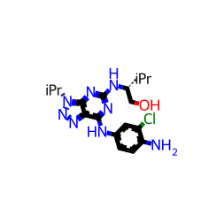 CC(C)[C@H](CO)Nc1nc(Nc2ccc(N)c(Cl)c2)c2nnn(C(C)C)c2n1